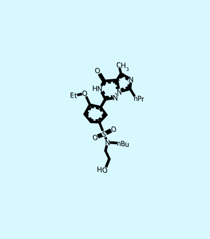 CCCCN(CCO)S(=O)(=O)c1ccc(OCC)c(-c2nn3c(CCC)nc(C)c3c(=O)[nH]2)c1